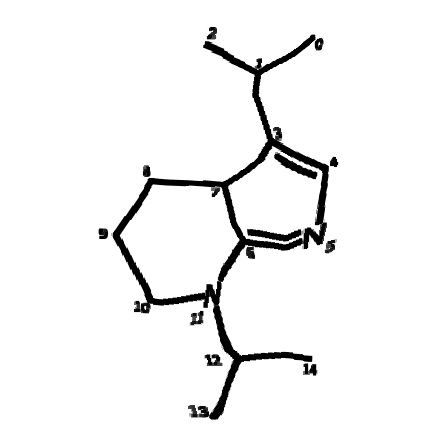 CC(C)C1=CN=C2C1CCCN2C(C)C